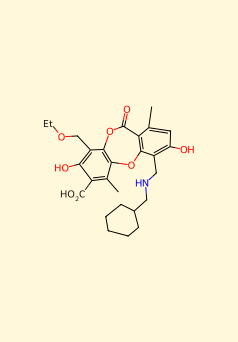 CCOCc1c(O)c(C(=O)O)c(C)c2c1OC(=O)c1c(C)cc(O)c(CNCC3CCCCC3)c1O2